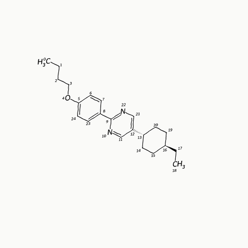 CCCCOc1ccc(-c2ncc([C@H]3CC[C@H](CC)CC3)cn2)cc1